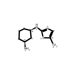 N[C@H]1CCC[C@@H](Nc2ncc(C(F)(F)F)s2)C1